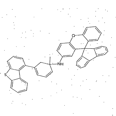 CC1(Nc2ccc3c(c2)C2(c4ccccc4O3)c3ccccc3-c3ccccc32)C=CC=C(c2cccc3sc4ccccc4c23)C1